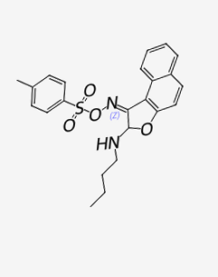 CCCCNC1Oc2ccc3ccccc3c2/C1=N/OS(=O)(=O)c1ccc(C)cc1